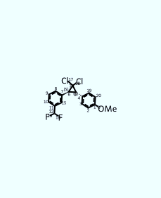 COc1ccc([C@@H]2[C@@H](c3cccc(C(F)F)c3)C2(Cl)Cl)cc1